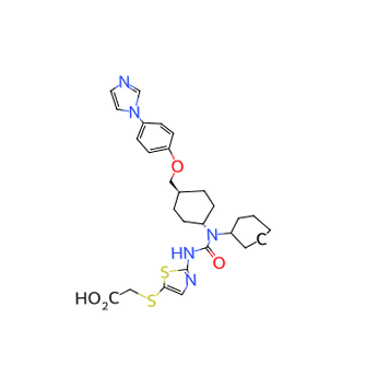 O=C(O)CSc1cnc(NC(=O)N(C2CCCCC2)[C@H]2CC[C@H](COc3ccc(-n4ccnc4)cc3)CC2)s1